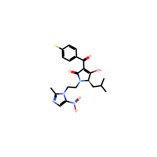 Cc1ncc([N+](=O)[O-])n1CCN1C(=O)C(C(=O)c2ccc(F)cc2)=C(O)[C@H]1CC(C)C